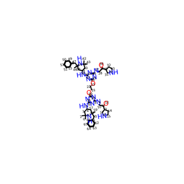 CC1(C)CC(Nc2nc(N=CC(=O)C3CCNC3)nc(OCCOc3nc(N=CC(=O)C4CCNC4)nc(NC4CC(C)(C)NC(C)(Cc5ccccc5)C4)n3)n2)CC(C)(Cc2ccccc2)N1